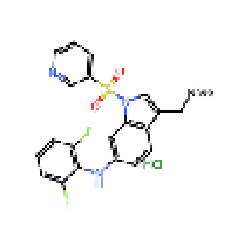 CNCc1cn(S(=O)(=O)c2cccnc2)c2cc(Nc3c(F)cccc3F)ccc12.Cl